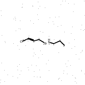 C[CH]CNOC/C=C/Cl